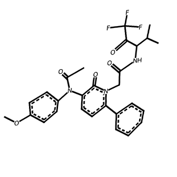 COc1ccc(N(C(C)=O)c2ccc(-c3ccccc3)n(CC(=O)NC(C(=O)C(F)(F)F)C(C)C)c2=O)cc1